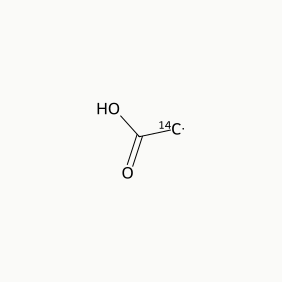 [14CH2]C(=O)O